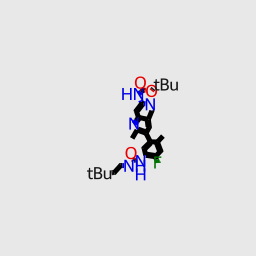 Cc1cc(F)c(NC(=O)NCCC(C)(C)C)cc1-c1cc2cnc(NC(=O)OC(C)(C)C)cc2nc1C